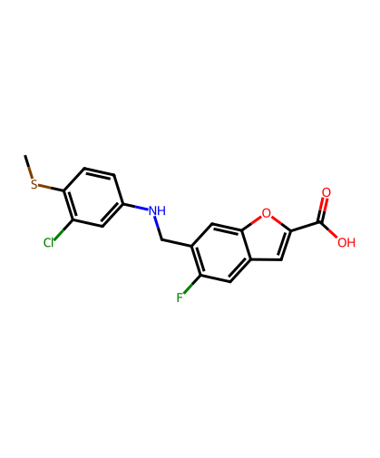 CSc1ccc(NCc2cc3oc(C(=O)O)cc3cc2F)cc1Cl